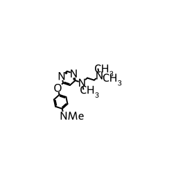 CNc1ccc(Oc2cc(N(C)CCN(C)C)ncn2)cc1